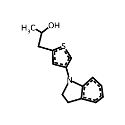 CC(O)Cc1cc(N2CCc3ccccc32)cs1